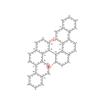 Oc1ccc2ccc3c4ccccc4ccc3c2c1-c1c(O)ccc2ccc3c4ccccc4ccc3c12